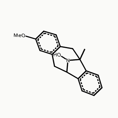 COc1ccc2c(c1)CC1c3ccccc3C(C)(C2)N1O